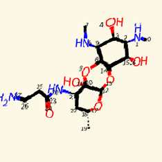 CN[C@@H]1[C@H](O)[C@H](NC)C2O[C@]3(O)C(OC2[C@@H]1O)O[C@H](C)C[C@H]3NC(=O)CCN